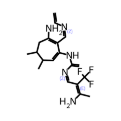 C=C/N=C\C1=C(N)CC(C)C(C)C=C1NC(=C)/N=C\C(=C(\C)N)C(F)(F)F